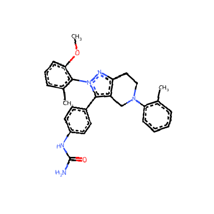 COc1cccc(C)c1-n1nc2c(c1-c1ccc(NC(N)=O)cc1)CN(c1ccccc1C)CC2